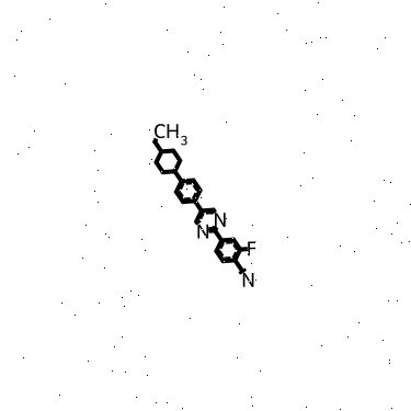 CCC1CCC(c2ccc(-c3cnc(-c4ccc(C#N)c(F)c4)nc3)cc2)CC1